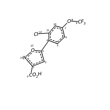 O=C(O)c1cc(-c2ccc(OC(F)(F)F)cc2Cl)on1